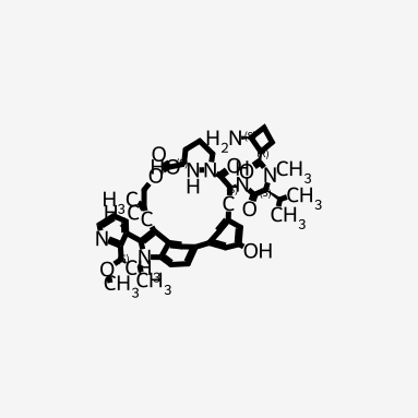 CCn1c(-c2cccnc2[C@H](C)OC)c2c3cc(ccc31)-c1cc(O)cc(c1)C[C@H](NC(=O)[C@H](C(C)C)N(C)C(=O)[C@@H]1CC[C@@H]1N)C(=O)N1CCC[C@@](O)(N1)C(=O)OCC(C)(C)C2